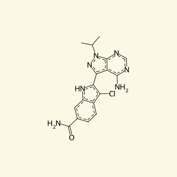 CC(C)n1nc(-c2[nH]c3cc(C(N)=O)ccc3c2Cl)c2c(N)ncnc21